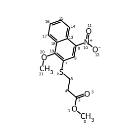 COC(=O)CCSc1cc([N+](=O)[O-])c2ccccc2c1OC